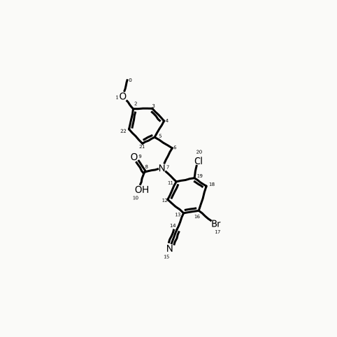 COc1ccc(CN(C(=O)O)c2cc(C#N)c(Br)cc2Cl)cc1